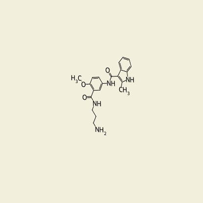 COc1ccc(NC(=O)c2c(C)[nH]c3ccccc23)cc1C(=O)NCCCN